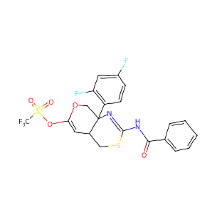 O=C(NC1=NC2(c3ccc(F)cc3F)COC(OS(=O)(=O)C(F)(F)F)=CC2CS1)c1ccccc1